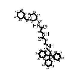 O=C(CCNC(=O)CC(c1ccccc1)(c1ccccc1)c1ccccc1)NCC(=O)NC[C@H]1CCCN(CC2CCCCC2)C1